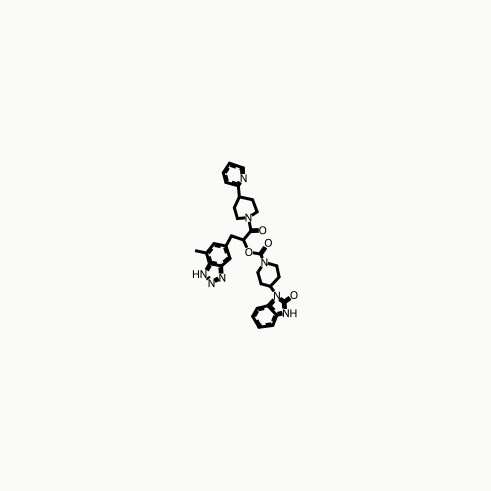 Cc1cc(CC(OC(=O)N2CCC(n3c(=O)[nH]c4ccccc43)CC2)C(=O)N2CCC(c3ccccn3)CC2)cc2nn[nH]c12